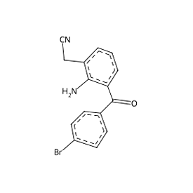 N#CCc1cccc(C(=O)c2ccc(Br)cc2)c1N